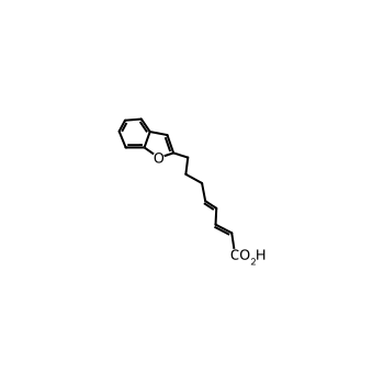 O=C(O)C=CC=CCCCc1cc2ccccc2o1